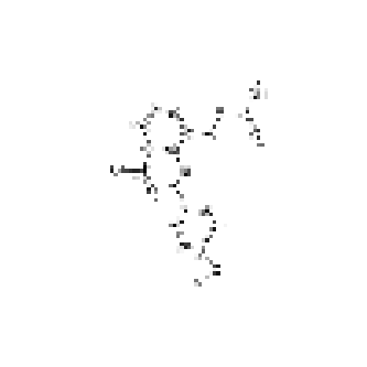 COc1ccc(CNc2c(CCC(=O)O)cccc2[N+](=O)[O-])cc1